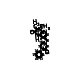 CC1C(=O)Nc2cc(CN3CCN(c4ccccc4)C(=O)C3)cnc2N1C